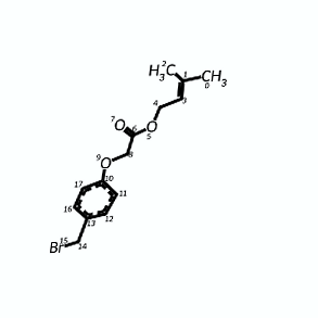 CC(C)=CCOC(=O)COc1ccc(CBr)cc1